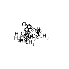 CNC(=O)[C@H](C)[C@@H](C)C(=O)N1CCc2c(Cl)ccc(OCc3noc(C(C)C)n3)c2C1CN1CCCC1=O